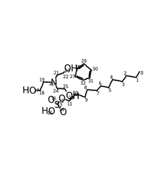 CCCCCCCCCCCCOS(=O)(=O)O.OCCN(CCO)CCO.c1ccccc1